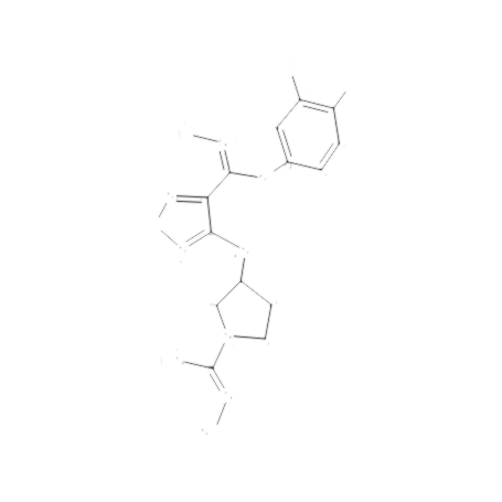 N#CN=C(N)N1CCC(Nc2nonc2C(=NO)Nc2ccc(F)c(Br)c2)C1